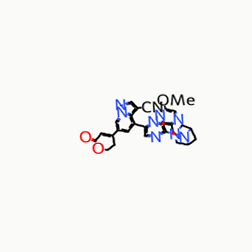 COc1cnc(CN2C3CC2CN(c2cnc(-c4cc(C5=CC(=O)OCC5)cn5ncc(C#N)c45)cn2)C3)cn1